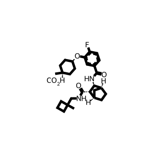 CC1(CNC(=O)[C@H]2[C@@H]3CC[C@@H](C3)[C@H]2NC(=O)c2ccc(F)c(O[C@H]3CC[C@@](C)(C(=O)O)CC3)c2)CCC1